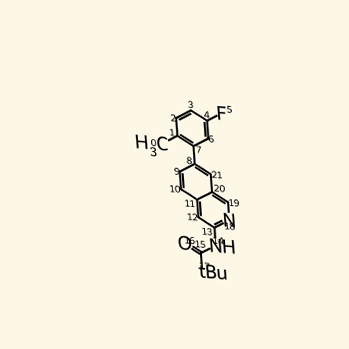 Cc1ccc(F)cc1-c1ccc2cc(NC(=O)C(C)(C)C)ncc2c1